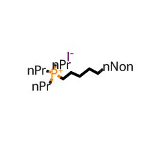 CCCCCCCCCCCCCC[P+](CCC)(CCC)CCC.[I-]